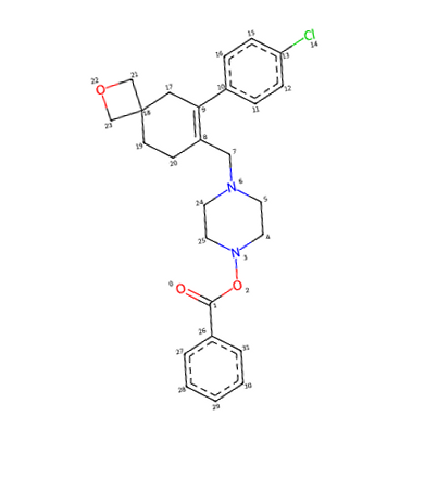 O=C(ON1CCN(CC2=C(c3ccc(Cl)cc3)CC3(CC2)COC3)CC1)c1ccccc1